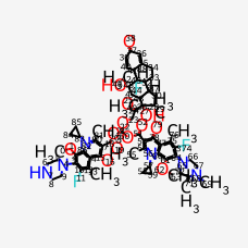 COc1c(N2CCNCC2)c(F)c(C)c2c(=O)c(C(=O)OC(OCC(=O)C3(O)[C@H](C)C[C@H]4[C@@H]5CCC6=CC(=O)C=C[C@]6(C)[C@@]5(F)[C@@H](O)C[C@@]43C)OC(=O)c3c(C)n(C4CC4)c4c(OC)c(N5CCN(C)C(C)C5)c(F)c(C)c4c3=O)c(C)n(C3CC3)c12